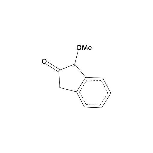 CO[C]1C(=O)Cc2ccccc21